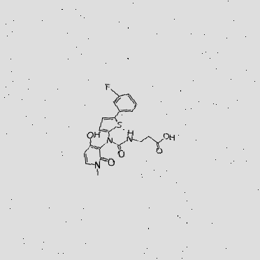 Cn1ccc(O)c(N(C(=O)NCCC(=O)O)c2ccc(-c3cccc(F)c3)s2)c1=O